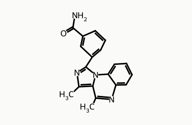 Cc1nc(-c2cccc(C(N)=O)c2)n2c1c(C)nc1ccccc12